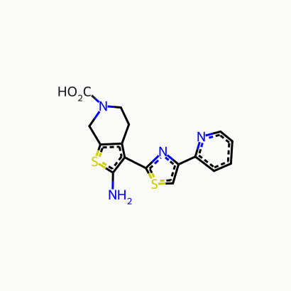 Nc1sc2c(c1-c1nc(-c3ccccn3)cs1)CCN(C(=O)O)C2